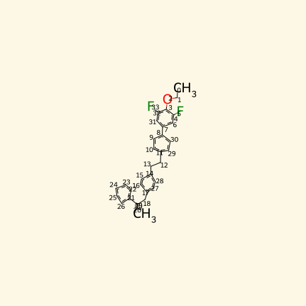 CCOc1c(F)cc(-c2ccc(CCc3ccc(C[C@@H](C)c4ccccc4)cc3)cc2)cc1F